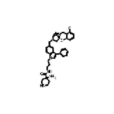 NC1(C(=O)NCCCn2cc(-c3ccccc3)c3cc(CN4CC5CC4CN5Cc4c(Cl)cccc4Cl)ccc32)CCNCC1